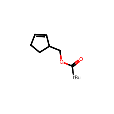 CC(C)(C)C(=O)OCC1C=CCC1